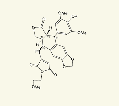 COCCN1C(=O)C=C(N[C@@H]2c3cc4c(cc3[C@@H](c3cc(OC)c(O)c(OC)c3)[C@H]3C(=O)OC[C@@H]32)OCO4)C1=O